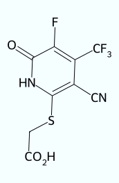 N#Cc1c(SCC(=O)O)[nH]c(=O)c(F)c1C(F)(F)F